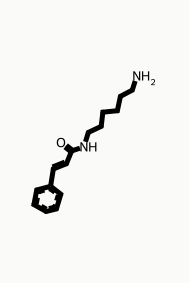 NCCCCCCNC(=O)C=Cc1ccccc1